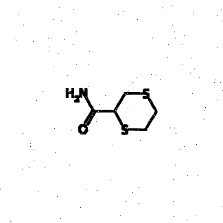 NC(=O)C1CSCCS1